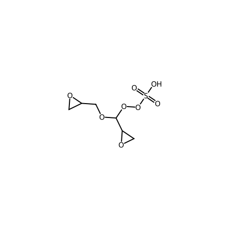 O=S(=O)(O)OOC(OCC1CO1)C1CO1